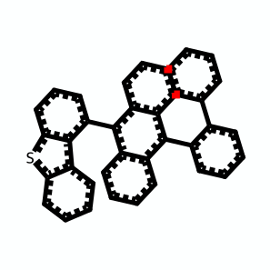 c1ccc(-c2ccccc2-c2c3ccccc3c(-c3cccc4sc5ccccc5c34)c3ccccc23)cc1